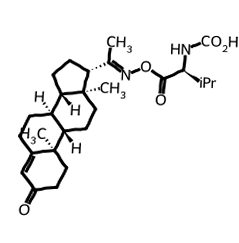 CC(=NOC(=O)[C@@H](NC(=O)O)C(C)C)[C@H]1CC[C@H]2[C@@H]3CCC4=CC(=O)CC[C@]4(C)[C@H]3CC[C@]12C